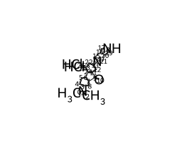 CN(C)c1ccc2c(c1)C(=O)c1cc(N3CC4=CNCC4C3)ccc1-2.Cl.Cl